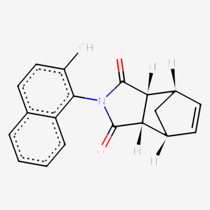 Cc1ccc2ccccc2c1N1C(=O)[C@@H]2[C@H](C1=O)[C@@H]1C=C[C@H]2C1